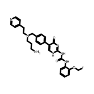 NCCCN(CCc1ccncc1)Cc1ccc(-c2c[nH]c(NC(=O)Nc3ccccc3OCF)nc2=O)cc1